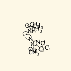 COC(=O)c1nc(N2CCC3(CCC[C@H]3N[S+]([O-])C(C)(C)C)CC2)cnc1-c1cccc(Cl)c1Cl